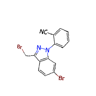 N#Cc1ccccc1-n1nc(CBr)c2ccc(Br)cc21